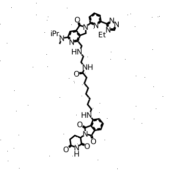 CCn1cnnc1-c1cccc(N2Cc3c(cc(N(C)C(C)C)nc3CNCCNC(=O)CCCCCCCNc3cccc4c3C(=O)N(C3CCC(=O)NC3=O)C4=O)C2=O)n1